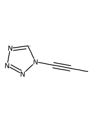 CC#Cn1[c]nnn1